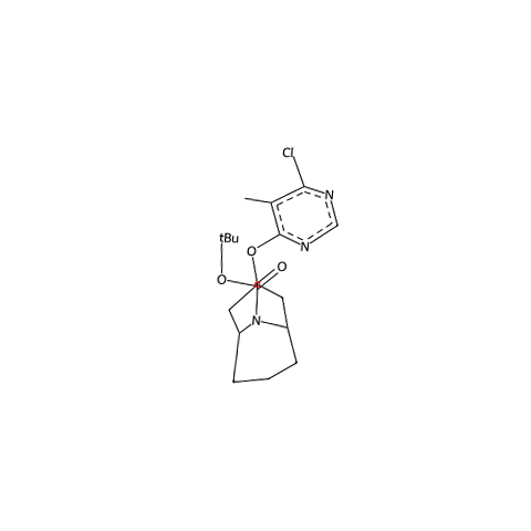 Cc1c(Cl)ncnc1OC1CC2CCCC(C1)N2C(=O)OC(C)(C)C